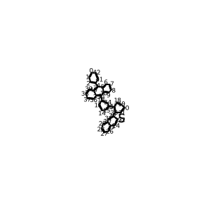 c1ccc(-c2c3ccccc3c(-c3cccc(-c4cccc5sc6cc7ccccc7cc6c45)c3)c3ccccc23)cc1